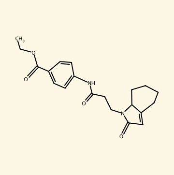 CCOC(=O)c1ccc(NC(=O)CCN2C(=O)C=C3CCCCC32)cc1